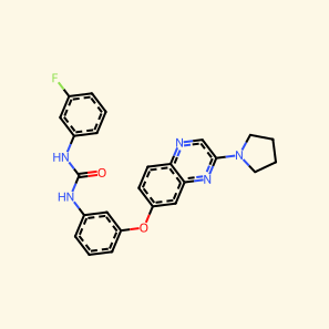 O=C(Nc1cccc(F)c1)Nc1cccc(Oc2ccc3ncc(N4CCCC4)nc3c2)c1